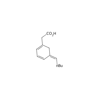 CCCCC=C1C=CC=C(CC(=O)O)C1